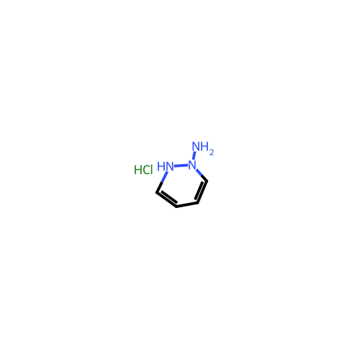 Cl.NN1C=CC=CN1